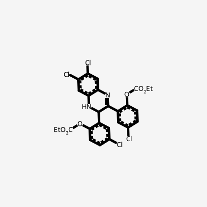 CCOC(=O)Oc1ccc(Cl)cc1C1=Nc2cc(Cl)c(Cl)cc2NC1c1cc(Cl)ccc1OC(=O)OCC